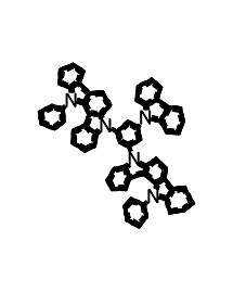 c1ccc(-n2c3ccccc3c3ccc4c(c5ccccc5n4-c4cc(-n5c6ccccc6c6ccccc65)cc(-n5c6ccccc6c6c5ccc5c7ccccc7n(-c7ccccc7)c56)c4)c32)cc1